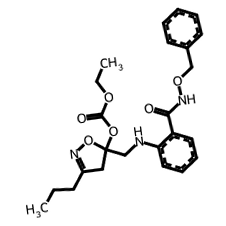 CCCC1=NOC(CNc2ccccc2C(=O)NOCc2ccccc2)(OC(=O)OCC)C1